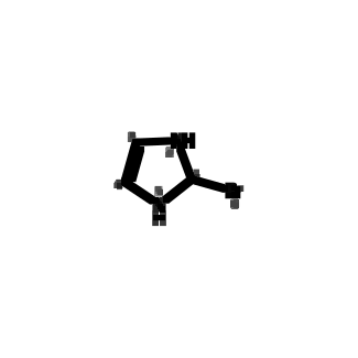 BrC1NC=CN1